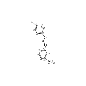 Cc1ccc(CCOc2cccc([N+](=O)[O-])c2)cc1